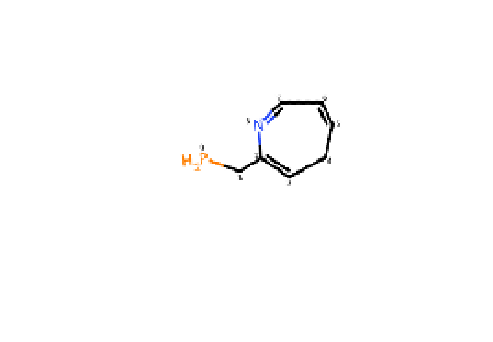 PCC1=CCC=CC=N1